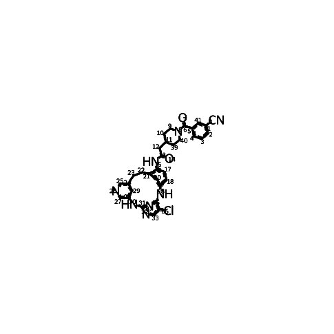 N#Cc1cccc(C(=O)N2CCC(CC(=O)Nc3ccc4cc3CCc3cncc(c3)Nc3ncc(Cl)c(n3)N4)CC2)c1